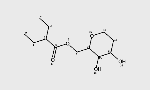 CCC(CC)C(=O)OCC1OCCC(O)C1O